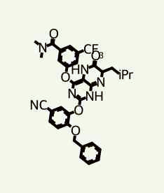 CC(C)CC1N=C2NC(Oc3cc(C#N)ccc3OCc3ccccc3)=NC(Oc3cc(C(=O)N(C)C)cc(C(F)(F)F)c3)=C2NC1=O